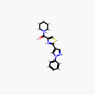 O=C(c1csc(-c2cnn(-c3ccccc3)c2)n1)N1CCCCC1